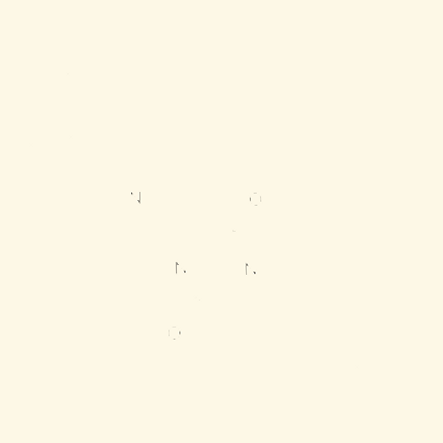 O=C1C2CN(Cc3c4ccccc4cc4ccccc34)CCN2C(=O)CN1Cc1ccc2ccccc2c1